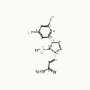 COC(=O)C=C[C@H]1CC[C@@H](c2cc(F)cc(F)c2)N1C(=O)O